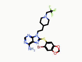 Nc1ncnc2c1nc(Sc1cc3c(cc1Br)OCO3)n2CCC1CCN(CC(F)(F)F)CC1